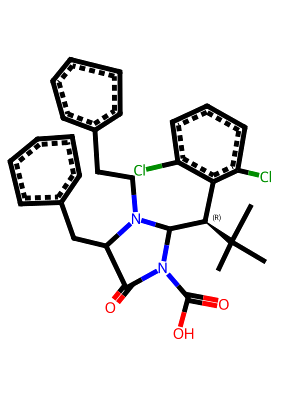 CC(C)(C)[C@H](c1c(Cl)cccc1Cl)C1N(C(=O)O)C(=O)C(Cc2ccccc2)N1CCc1ccccc1